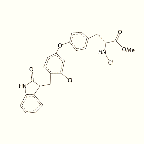 COC(=O)[C@@H](Cc1ccc(Oc2ccc(CC3C(=O)Nc4ccccc43)c(Cl)c2)cc1)NCl